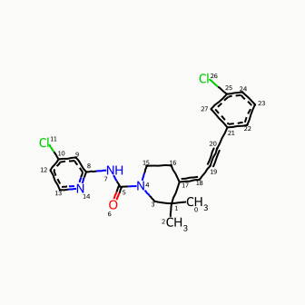 CC1(C)CN(C(=O)Nc2cc(Cl)ccn2)CC/C1=C\C#Cc1cccc(Cl)c1